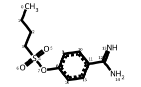 CCCCS(=O)(=O)Oc1ccc(C(=N)N)cc1